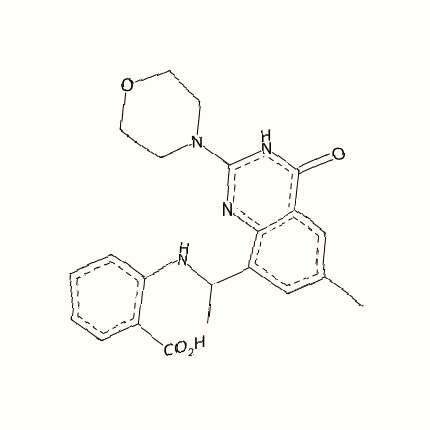 Cc1cc(C(C)Nc2ccccc2C(=O)O)c2nc(N3CCOCC3)[nH]c(=O)c2c1